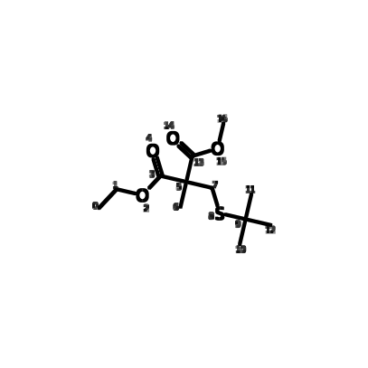 CCOC(=O)C(C)(CSC(C)(C)C)C(=O)OC